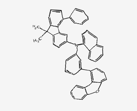 CC1(C)c2ccc(N(c3cccc(-c4cccc5oc6ccccc6c45)c3)c3cccc4ccccc34)cc2-c2c(-c3ccccc3)cccc21